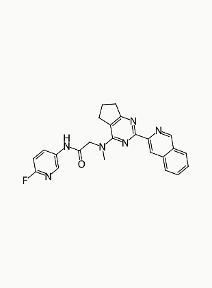 CN(CC(=O)Nc1ccc(F)nc1)c1nc(-c2cc3ccccc3cn2)nc2c1CCC2